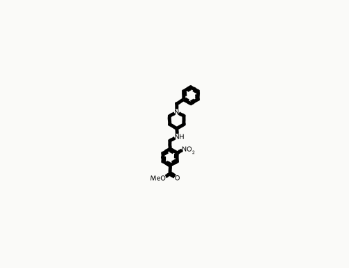 COC(=O)c1ccc(CNC2CCN(Cc3ccccc3)CC2)c([N+](=O)[O-])c1